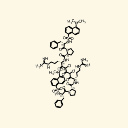 CN(C)c1cccc2c(S(=O)(=O)N[C@@H](Cc3ccccc3)C(=O)N3CCC[C@H]3C(=O)N[C@@H](CCCNC(=N)N)C(=O)C(Cl)C(=O)C(Cl)C(=O)[C@H](CCCNC(=N)N)NC(=O)[C@@H]3CCCN3C(=O)[C@H](Cc3ccccc3)NS(=O)(=O)c3cccc4c(N(C)C)cccc34)cccc12